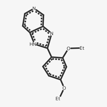 CCOc1ccc(-c2nc3cnccc3[nH]2)c(OCC)c1